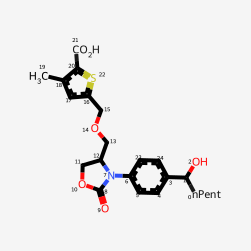 CCCCCC(O)c1ccc(N2C(=O)OCC2COCc2cc(C)c(C(=O)O)s2)cc1